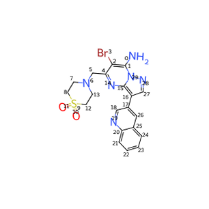 Nc1c(Br)c(CN2CCS(=O)(=O)CC2)nc2c(-c3cnc4ccccc4c3)cnn12